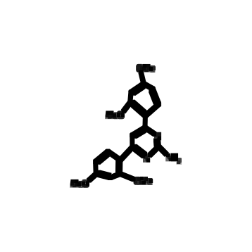 COc1ccc(-c2cc(-c3ccc(OC)cc3OC)nc(N)n2)c(OC)c1